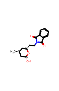 C[C@H]1C[C@@H](CCN2C(=O)c3ccccc3C2=O)O[C@H](O)C1